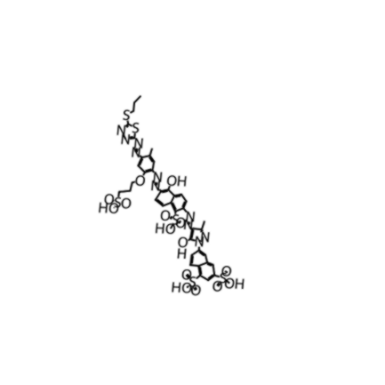 CCCSc1nnc(N=Nc2cc(OCCCS(=O)(=O)O)c(N=Nc3ccc4c(S(=O)(=O)O)c(N=Nc5c(C)nn(-c6ccc7c(S(=O)(=O)O)cc(S(=O)(=O)O)cc7c6)c5O)ccc4c3O)cc2C)s1